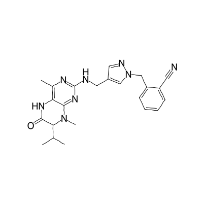 Cc1nc(NCc2cnn(Cc3ccccc3C#N)c2)nc2c1NC(=O)C(C(C)C)N2C